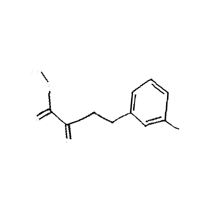 CC(C)OC(=O)C(=O)CCc1cccc(Cl)c1